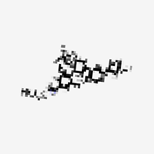 C[C@H]1Cc2c(oc3ccc(-c4cnn(C)c4)cc23)[C@H](c2c(F)cc(/C=C/C(=O)O)cc2F)N1CC(C)(C)F